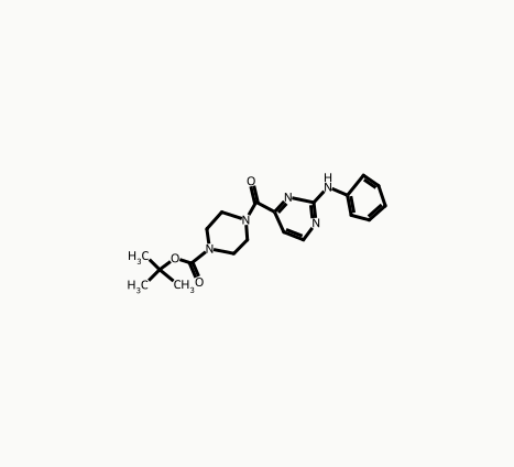 CC(C)(C)OC(=O)N1CCN(C(=O)c2ccnc(Nc3ccccc3)n2)CC1